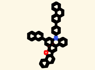 c1cc(-c2ccc3ccccc3c2)cc(N(c2ccc(-c3ccc4c(ccc5ccccc54)c3)cc2)c2ccccc2-c2ccc3oc4c5ccccc5ccc4c3c2)c1